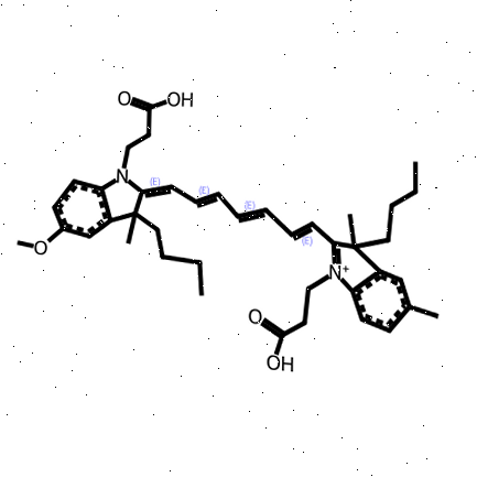 CCCCC1(C)C(/C=C/C=C/C=C/C=C2/N(CCC(=O)O)c3ccc(OC)cc3C2(C)CCCC)=[N+](CCC(=O)O)c2ccc(C)cc21